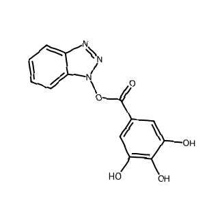 O=C(On1nnc2ccccc21)c1cc(O)c(O)c(O)c1